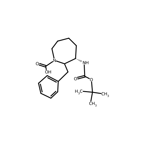 CC(C)(C)OC(=O)N[C@H]1CCCCN(C(=O)O)C1Cc1ccccc1